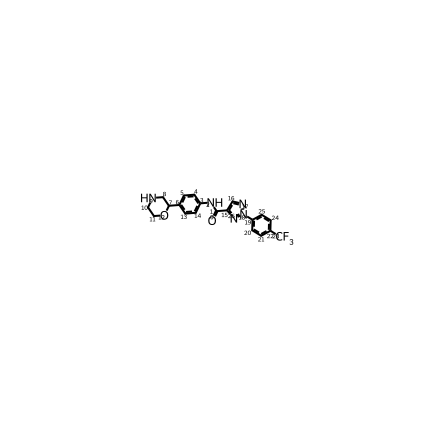 O=C(Nc1ccc(C2CNCCO2)cc1)c1cnn(-c2ccc(C(F)(F)F)cc2)n1